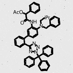 CC(=O)OC(C(=O)Nc1cc(-c2ccccc2-c2nnn(C(c3ccccc3)(c3ccccc3)c3ccccc3)n2)ccc1N(Cc1ccccc1)CC(C)C)c1ccccc1